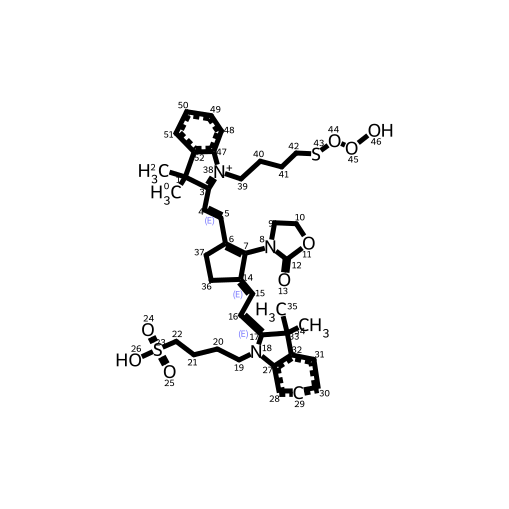 CC1(C)C(/C=C/C2=C(N3CCOC3=O)C(=C/C=C3/N(CCCCS(=O)(=O)O)c4ccccc4C3(C)C)/CC2)=[N+](CCCCSOOO)c2ccccc21